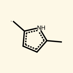 [CH2]c1ccc(C)[nH]1